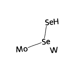 [SeH][Se][Mo].[W]